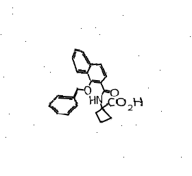 O=C(NC1(C(=O)O)CCC1)c1ccc2ccccc2c1OCc1ccccc1